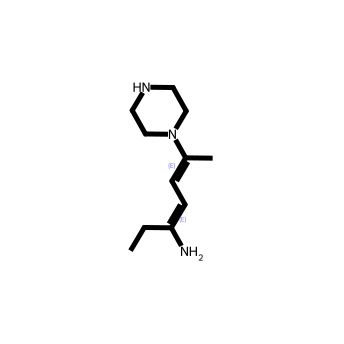 CC/C(N)=C\C=C(/C)N1CCNCC1